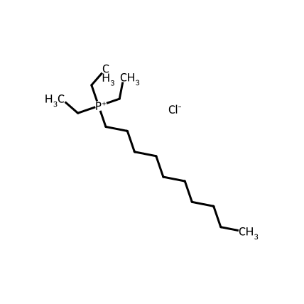 CCCCCCCCCC[P+](CC)(CC)CC.[Cl-]